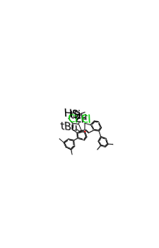 Cc1cc(C)cc(-c2cccc3c2C=C(CC(C)(C)C)[CH]3[Zr]([Cl])([Cl])([CH]2C(CC(C)(C)C)=Cc3c(-c4cc(C)cc(C)c4)cccc32)[SiH](C)C)c1